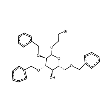 O[C@H]1[C@H](OCc2ccccc2)[C@@H](OCc2ccccc2)[C@H](OCCBr)O[C@@H]1COCc1ccccc1